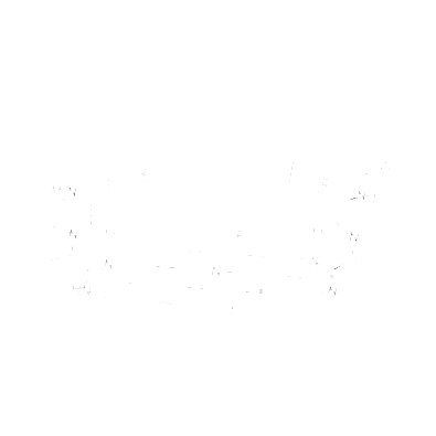 COC(=O)N[C@@H](C(=O)N1CCC[C@H]1c1ncc(-c2cc(F)c(N3CCc4cc(-c5c[nH]c([C@@H]6CCCN6C(=O)[C@H](N)c6ccccc6)n5)ccc4C3)c(F)c2)[nH]1)c1ccccc1